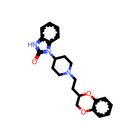 O=c1[nH]c2ccccc2n1C1CCN(CCC2COc3ccccc3O2)CC1